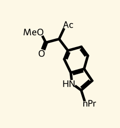 CCCc1cc2ccc(C(C(C)=O)C(=O)OC)cc2[nH]1